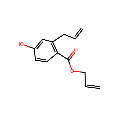 C=CCOC(=O)c1ccc(O)cc1CC=C